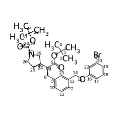 CC(C)(C)OC(=O)[C@@H](Cc1cccc(COc2cccc(Br)c2)c1)[C@H]1CCN(C(=O)OC(C)(C)C)C1